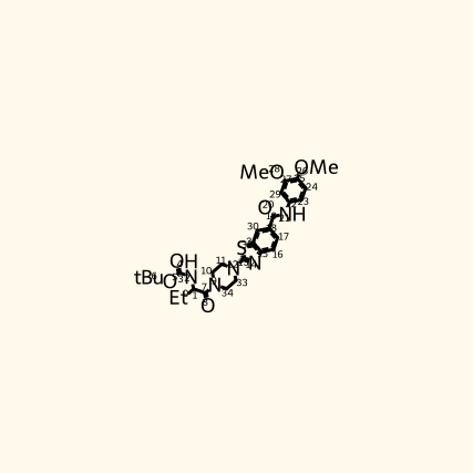 CCC(NC(=O)OC(C)(C)C)C(=O)N1CCN(c2nc3ccc(C(=O)Nc4ccc(OC)c(OC)c4)cc3s2)CC1